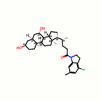 Cc1cc(F)c2c(c1)N(C(=O)CC[C@@H](C)[C@H]1CC[C@H]3[C@@H]4[C@@H](O)C[C@@H]5C[C@H](O)CC[C@]5(C)[C@H]4CC[C@]13C)CC2